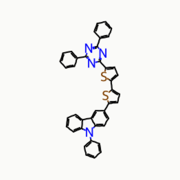 c1ccc(-c2nc(-c3ccccc3)nc(-c3ccc(-c4ccc(-c5ccc6c(c5)c5ccccc5n6-c5ccccc5)s4)s3)n2)cc1